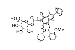 COc1ccccc1[C@H](Cn1c(=O)n(C(C)(C)C(=O)OC2OC(C(=O)O)C(O)C(O)C2O)c(=O)c2c(C)c(-c3ncco3)sc21)OC1CCOCC1